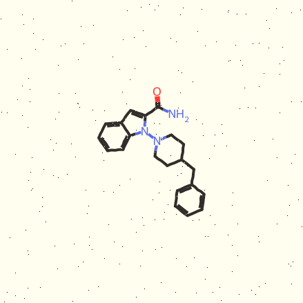 NC(=O)c1cc2ccccc2n1N1CCC(Cc2ccccc2)CC1